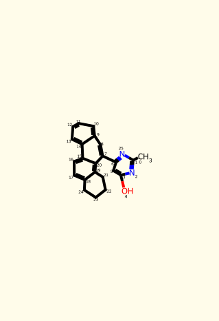 Cc1nc(O)cc(-c2cc3ccccc3c3ccc4c(c23)CCCC4)n1